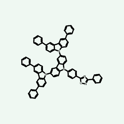 c1ccc(-c2ccc3c(c2)c2cc(-c4ccccc4)ccc2n3-c2ccc3c(c2)c2cc(-n4c5ccc(-c6ccccc6)cc5c5cc(-c6ccccc6)ccc54)ccc2n3-c2ccc(-c3nc(-c4ccccc4)no3)cc2)cc1